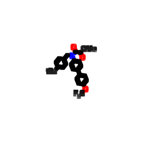 COC(=O)C(=O)N(Cc1ccc(C(C)(C)C)cc1)c1ccc(-c2ccc(OC(F)(F)F)cc2)cc1